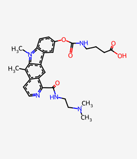 Cc1c2ccnc(C(=O)NCCN(C)C)c2cc2c3cc(OC(=O)NCCCC(=O)O)ccc3n(C)c12